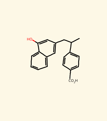 CC(Cc1cc(O)c2ccccc2c1)c1ccc(C(=O)O)cc1